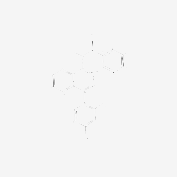 Cc1cc(O)ccc1-c1nnc(N(C)[C@@H](C)c2ccccc2)c2ccccc12